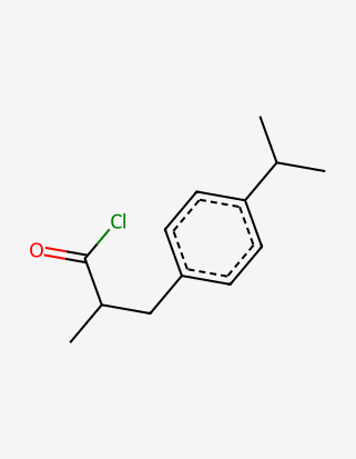 CC(Cc1ccc(C(C)C)cc1)C(=O)Cl